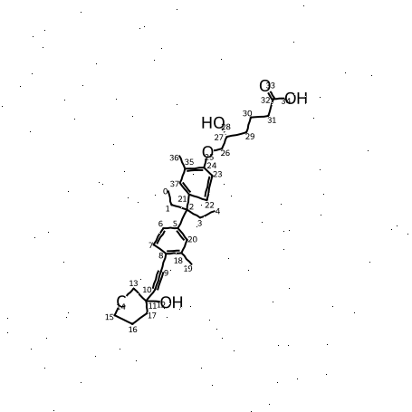 CCC(CC)(c1ccc(C#CC2(O)CCCCC2)c(C)c1)c1ccc(OC[C@H](O)CCCC(=O)O)c(C)c1